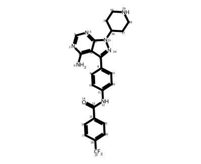 Nc1ncnc2c1c(-c1ccc(NC(=O)c3ccc(C(F)(F)F)cc3)cc1)nn2C1CCNCC1